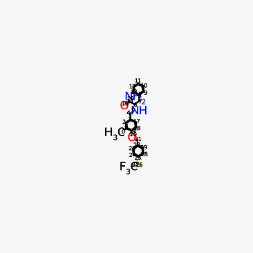 Cc1cc(CNC(Cc2ccccc2)C(N)=O)ccc1OCc1ccc(SC(F)(F)F)cc1